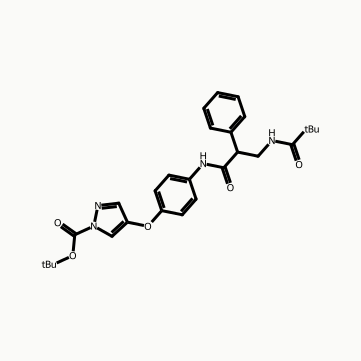 CC(C)(C)OC(=O)n1cc(Oc2ccc(NC(=O)C(CNC(=O)C(C)(C)C)c3ccccc3)cc2)cn1